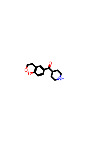 O=C(c1ccc2c(c1)CCOO2)C1CCNCC1